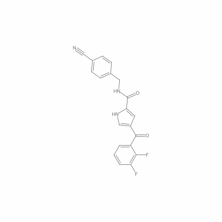 N#Cc1ccc(CNC(=O)c2cc(C(=O)c3cccc(F)c3F)c[nH]2)cc1